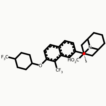 C[C@H](c1ccc2ccc(OC3CCC(C(F)(F)F)CC3)c(C(F)(F)F)c2c1)N1C2CCCC1CC(C(=O)O)C2